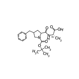 C[C@H](NC(=O)C1CC(Cc2ccccc2)CN1C(=O)OC(C)(C)C)C(=O)O